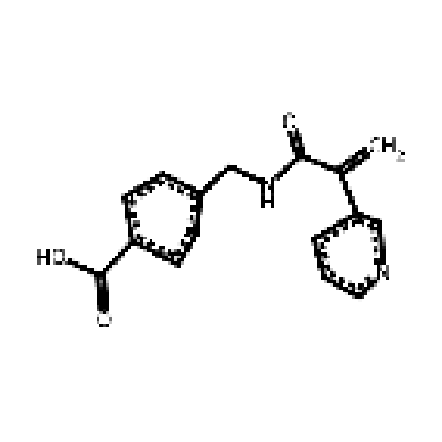 C=C(C(=O)NCc1ccc(C(=O)O)cc1)c1cccnc1